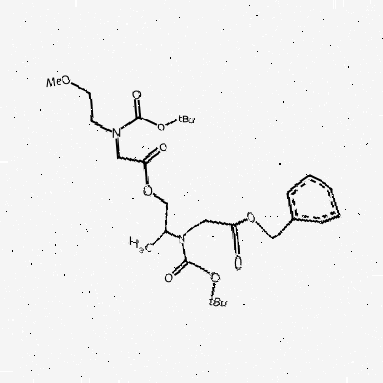 COCCN(CC(=O)OCC(C)N(CC(=O)OCc1ccccc1)C(=O)OC(C)(C)C)C(=O)OC(C)(C)C